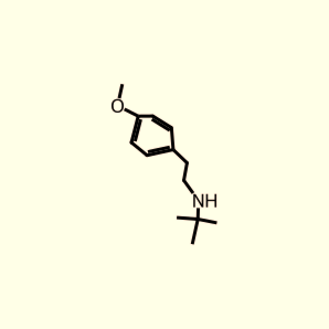 COc1ccc(CCNC(C)(C)C)cc1